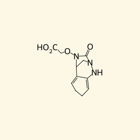 O=C(O)CON1C(=O)N2CC1C1=CCCC=C1N2